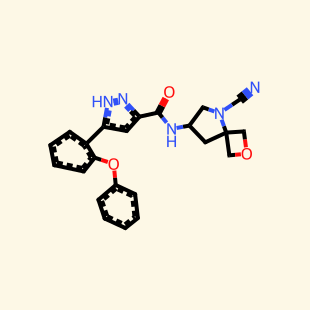 N#CN1CC(NC(=O)c2cc(-c3ccccc3Oc3ccccc3)[nH]n2)CC12COC2